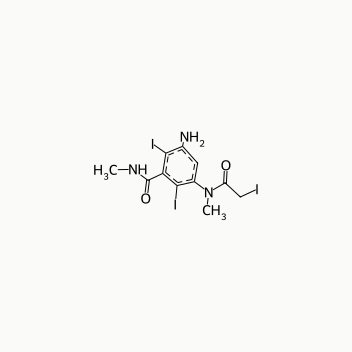 CNC(=O)c1c(I)c(N)cc(N(C)C(=O)CI)c1I